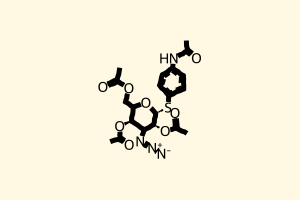 CC(=O)Nc1ccc(S[C@H]2OC(COC(C)=O)[C@H](OC(C)=O)C(N=[N+]=[N-])[C@H]2OC(C)=O)cc1